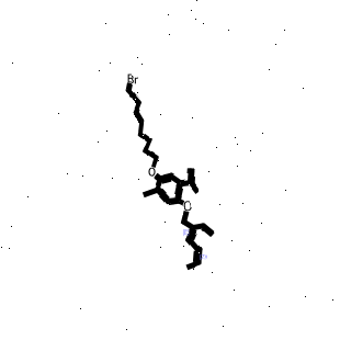 C=C/C(=C\C=C/C)COc1cc(C)c(OCCCCCCCCBr)cc1C(=C)C